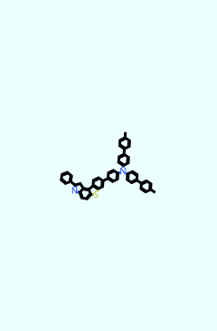 Cc1ccc(-c2ccc(N(c3ccc(-c4ccc(C)cc4)cc3)c3ccc(-c4ccc5c(c4)sc4ccc6c(c45)CC(c4ccccc4)=N6)cc3)cc2)cc1